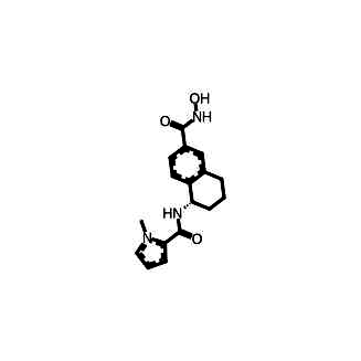 Cn1cccc1C(=O)N[C@H]1CCCc2cc(C(=O)NO)ccc21